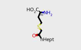 CCCCCCCC(=O)CSCC[C@H](N)C(=O)O